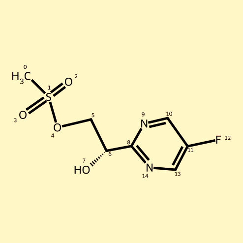 CS(=O)(=O)OC[C@@H](O)c1ncc(F)cn1